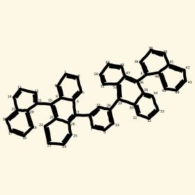 c1cc(-c2c3ccccc3c(-c3cccc4ccccc34)c3ccccc23)cc(-c2c3ccccc3c(-c3cccc4ccccc34)c3ccccc23)c1